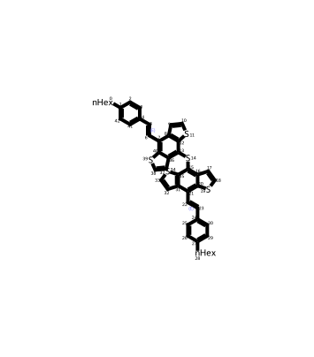 CCCCCCc1ccc(/C=C/c2c3ccsc3c(Sc3c4ccsc4c(/C=C/c4ccc(CCCCCC)cc4)c4ccsc34)c3ccsc23)cc1